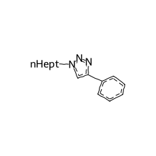 CCCCCCCn1cc(-c2ccccc2)nn1